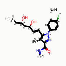 CCCNC(=O)c1nn(-c2ccc(F)cc2)c(/C=C/[C@H](O)C[C@@H](O)CC(=O)O)c1C(C)C.[NaH]